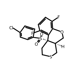 O=S(=O)(c1ccc(Cl)cc1)[C@@]12CCSC[C@@H]1COc1c(F)ccc(F)c12